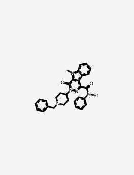 CCN(C(=O)c1nn(C2CCN(Cc3ccccc3)CC2)c(=O)c2c1c1ccccc1n2C)c1ccccc1